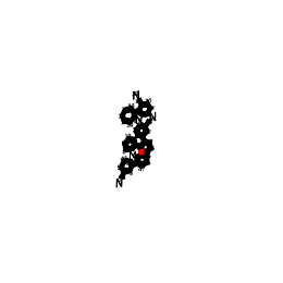 N#CC1=Cc2c(n(-c3ccccc3-c3ccccc3-c3ccc(-n4c5c(c6c4CCC=C6C#N)C=CCC=C5)c(C#N)c3)c3ccccc23)CC1